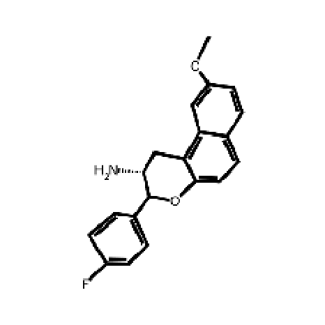 COc1ccc2ccc3c(c2c1)C[C@@H](N)C(c1ccc(F)cc1)O3